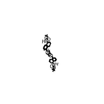 CC(C)(C)OC(=O)N[C@@H]1CCCc2c1cccc2N1CC2CN(c3cccc4c3CCC[C@H]4NC(=O)OC(C)(C)C)CC2C1